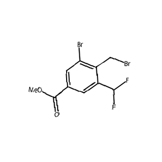 COC(=O)c1cc(Br)c(CBr)c(C(F)F)c1